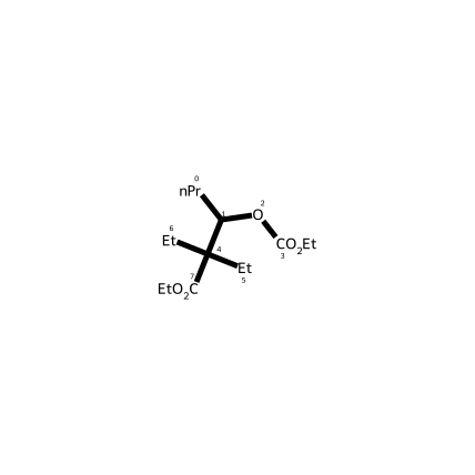 CCCC(OC(=O)OCC)C(CC)(CC)C(=O)OCC